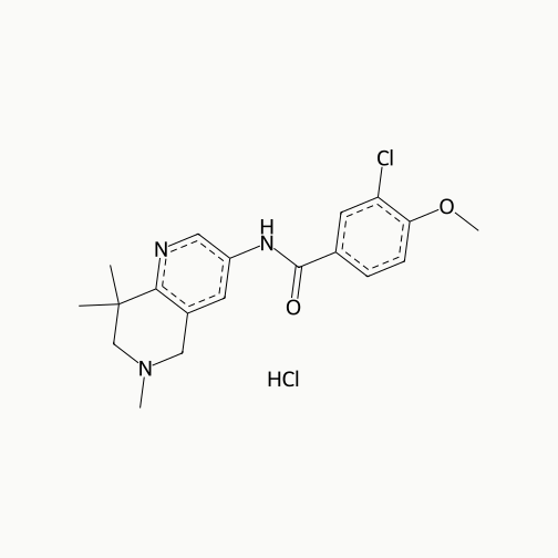 COc1ccc(C(=O)Nc2cnc3c(c2)CN(C)CC3(C)C)cc1Cl.Cl